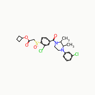 CC1C(C)N(c2cccc(Cl)c2)CCN1C(=O)c1ccc([S+]([O-])CC(=O)OC2CCC2)c(Cl)c1